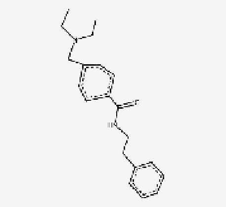 CCN(CC)Cc1ccc(C(=O)NCCc2ccccc2)cc1